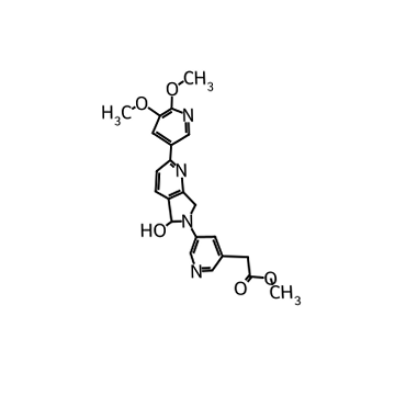 COC(=O)Cc1cncc(N2Cc3nc(-c4cnc(OC)c(OC)c4)ccc3C2O)c1